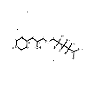 OC(COCC(F)(F)C(F)(F)C(F)(F)C(F)F)CN1CCOCC1